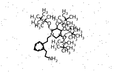 CC(C)(C)[Si](C)(C)OC[C@@H]1C(O[Si](C)(C)C(C)(C)C)C(O[Si](C)(C)C(C)(C)C)C(O[Si](C)(C)C(C)(C)C)CN1CCc1ccccc1CCN